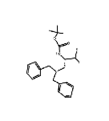 CC(C)(C)OC(=O)N[C@@H](CN(Cc1ccccc1)Cc1ccccc1)C(F)F